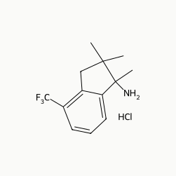 CC1(C)Cc2c(C(F)(F)F)cccc2C1(C)N.Cl